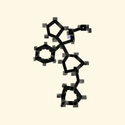 C/N=C/C(c1ccccc1)(C1CCCC1)C1CCN(Cc2ccccc2)CC1